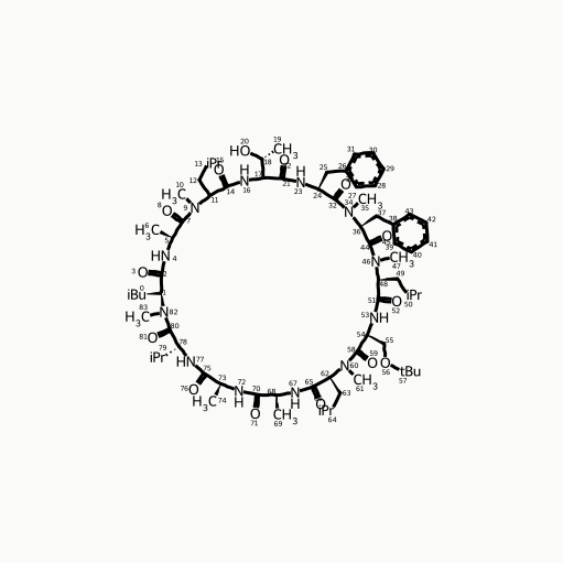 CC[C@H](C)[C@H]1C(=O)N[C@@H](C)C(=O)N(C)C(CC(C)C)C(=O)NC([C@@H](C)O)C(=O)N[C@@H](Cc2ccccc2)C(=O)N(C)[C@@H](Cc2ccccc2)C(=O)N(C)[C@@H](CC(C)C)C(=O)N[C@@H](COC(C)(C)C)C(=O)N(C)[C@@H](CC(C)C)C(=O)N[C@@H](C)C(=O)N[C@@H](C)C(=O)N[C@H](C(C)C)C(=O)N1C